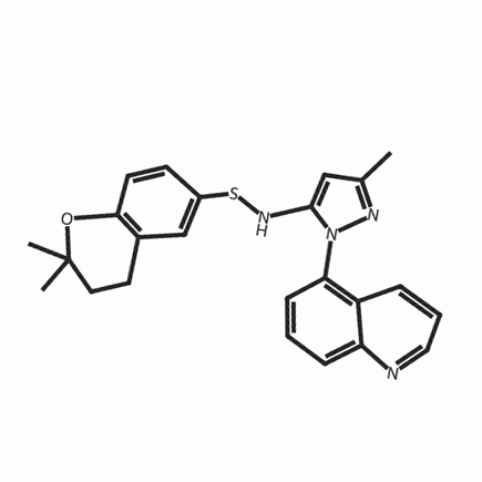 Cc1cc(NSc2ccc3c(c2)CCC(C)(C)O3)n(-c2cccc3ncccc23)n1